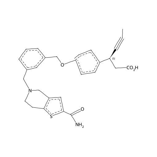 CC#C[C@@H](CC(=O)O)c1ccc(OCc2cccc(CN3CCc4sc(C(N)=O)cc4C3)c2)cc1